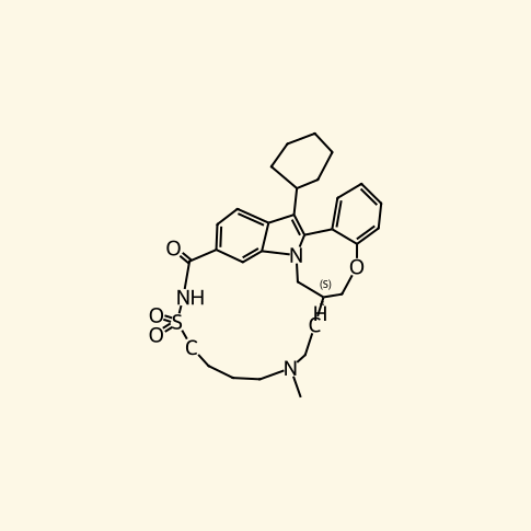 CN1CCCCS(=O)(=O)NC(=O)c2ccc3c(C4CCCCC4)c4n(c3c2)C[C@H](CC1)COc1ccccc1-4